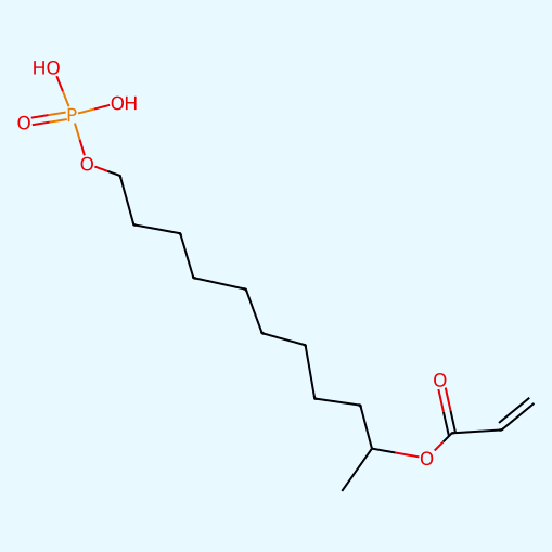 C=CC(=O)OC(C)CCCCCCCCCOP(=O)(O)O